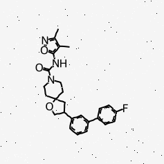 Cc1noc(NC(=O)N2CCC3(CC2)CC(c2cccc(-c4ccc(F)cc4)c2)CO3)c1C